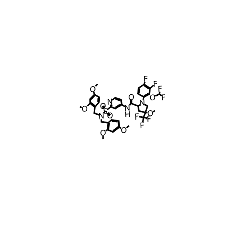 COc1ccc(CN(Cc2ccc(OC)cc2OC)S(=O)(=O)c2cc(NC(=O)C3CC(OC)(C(F)(F)F)CN3c3ccc(F)c(F)c3OC(F)F)ccn2)c(OC)c1